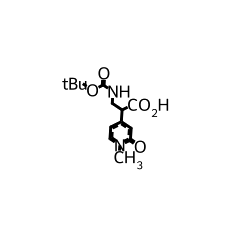 Cn1ccc(C(CNC(=O)OC(C)(C)C)C(=O)O)cc1=O